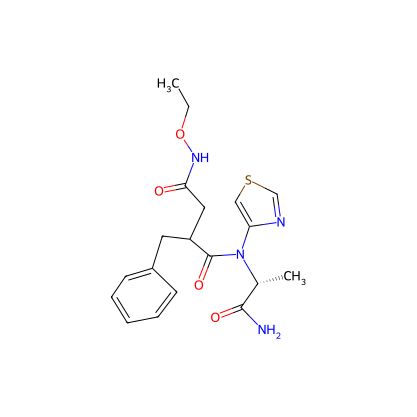 CCONC(=O)CC(Cc1ccccc1)C(=O)N(c1cscn1)[C@H](C)C(N)=O